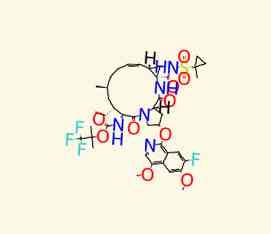 CC[C@@H]1C[C@@H](C)CC/C=C\[C@@H]2C[C@@]2(C(=O)NS(=O)(=O)C2(C)CC2)NC(=O)[C@@H]2C[C@@H](Oc3ncc(OC)c4cc(OC)c(F)cc34)CN2C(=O)[C@H]1NC(=O)OC(C)(C)C(F)(F)F